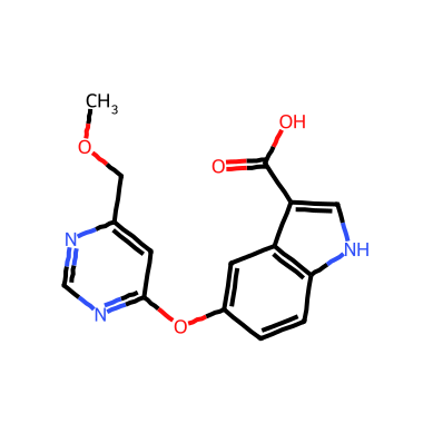 COCc1cc(Oc2ccc3[nH]cc(C(=O)O)c3c2)ncn1